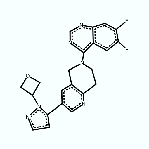 Fc1cc2ncnc(N3CCc4ncc(-c5ccnn5C5COC5)cc4C3)c2cc1F